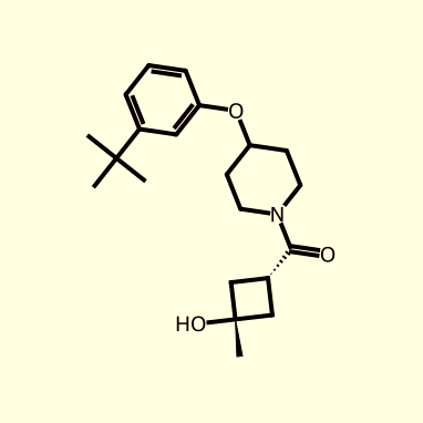 CC(C)(C)c1cccc(OC2CCN(C(=O)[C@H]3C[C@@](C)(O)C3)CC2)c1